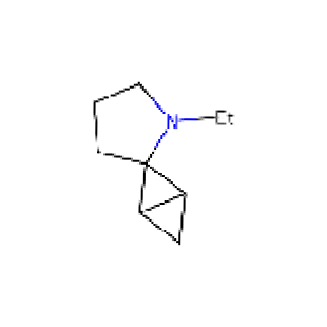 CCN1CCCC12C1CC12